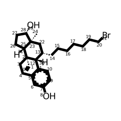 C=C[C@@]12CCc3cc(O)ccc3[C@H]1[C@@H](CCCCCCCBr)C[C@@]1(C)[C@H]2CC[C@@H]1O